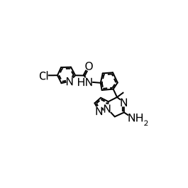 CC1(c2cccc(NC(=O)c3ccc(Cl)cn3)c2)N=C(N)Cn2nccc21